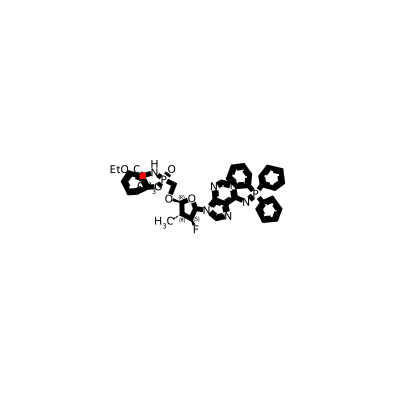 CCOC(=O)C(C)NP(=O)(CO[C@H]1OC(n2cnc3c(N=P(c4ccccc4)(c4ccccc4)c4ccccc4)ncnc32)[C@@H](F)[C@@H]1C)Oc1ccccc1